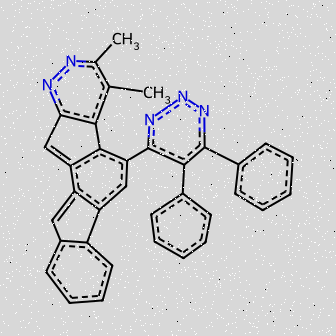 Cc1nnc2c(c1C)-c1c(-c3nnnc(-c4ccccc4)c3-c3ccccc3)cc3c(c1=C2)=Cc1ccccc1-3